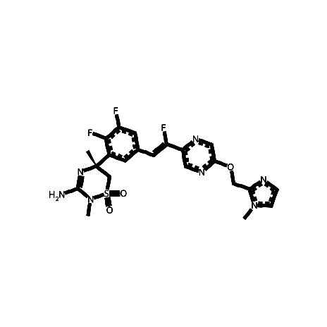 CN1C(N)=N[C@](C)(c2cc(/C=C(\F)c3cnc(OCc4nccn4C)cn3)cc(F)c2F)CS1(=O)=O